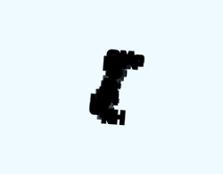 COc1nn2cc(-c3ccc(N4C[C@H]5C[C@@H]4CN5C(=O)C4CNC4)nc3)ccc2c1C#N